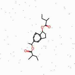 CCC(C)C(=O)OC(C)c1ccc2c(c1)CCC2OC(=O)C(C)CC